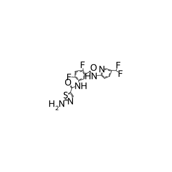 Nc1ncc(C(=O)Nc2cc(C(=O)Nc3ccc(C(F)F)cn3)c(F)cc2F)s1